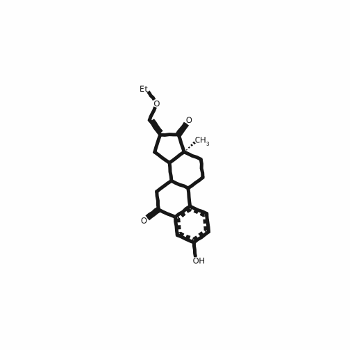 CCO/C=C1/CC2C3CC(=O)c4cc(O)ccc4C3CC[C@]2(C)C1=O